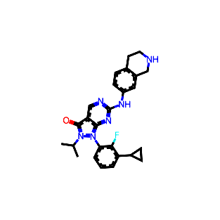 CC(C)n1c(=O)c2cnc(Nc3ccc4c(c3)CNCC4)nc2n1-c1cccc(C2CC2)c1F